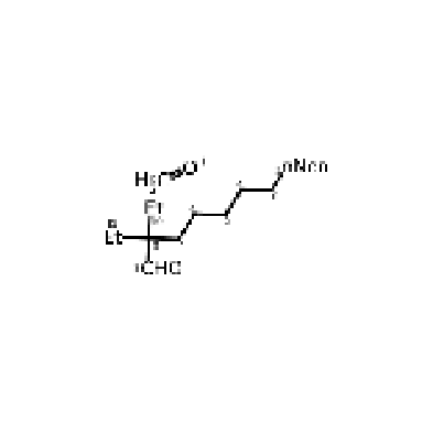 C=O.CCCCCCCCCCCCCCC(C=O)(CC)CC